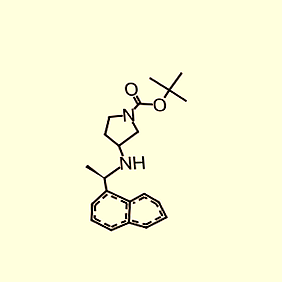 C[C@@H](NC1CCN(C(=O)OC(C)(C)C)C1)c1cccc2ccccc12